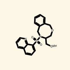 COCC1COCc2ccccc2CN1S(=O)(=O)c1cccc2cccnc12